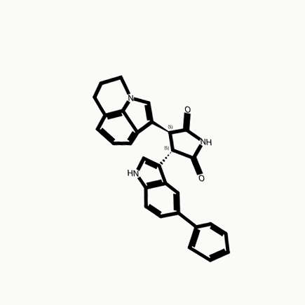 O=C1NC(=O)[C@H](c2cn3c4c(cccc24)CCC3)[C@H]1c1c[nH]c2ccc(-c3ccccc3)cc12